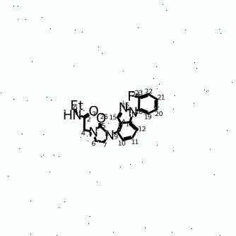 CCNC(=O)CN1CCN(c2cccc3c2cnn3-c2ccccc2F)C1=O